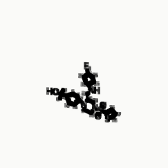 CC(C)(O)c1ccc(N2CCN(S(=O)(=O)c3cccs3)C[C@@H]2CNc2ccc(F)cc2)cc1